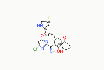 C[C@H](Oc1cc(Cl)nc(C(=N)C2=C(O)[C@]3(CCCCC3=O)CCC2)n1)[C@@H]1C[C@@H](F)CN1